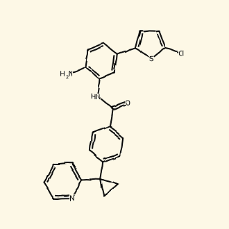 Nc1ccc(-c2ccc(Cl)s2)cc1NC(=O)c1ccc(C2(c3ccccn3)CC2)cc1